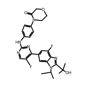 CC(C)n1c(C(C)(C)O)nc2c(F)cc(-c3nc(Nc4ccc(N5CCOCC5=O)cc4)ncc3F)cc21